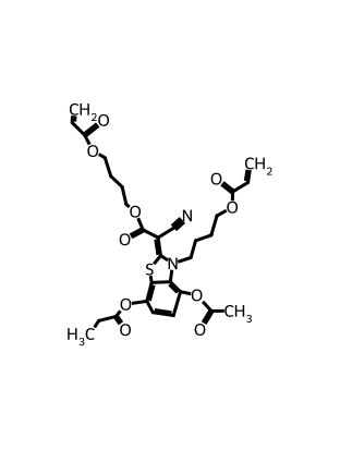 C=CC(=O)OCCCCOC(=O)/C(C#N)=C1\Sc2c(OC(=O)CC)ccc(OC(C)=O)c2N1CCCCOC(=O)C=C